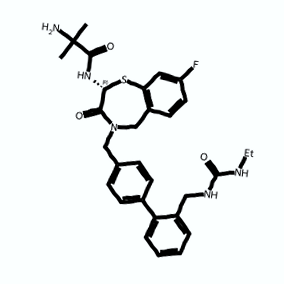 CCNC(=O)NCc1ccccc1-c1ccc(CN2Cc3ccc(F)cc3S[C@@H](NC(=O)C(C)(C)N)C2=O)cc1